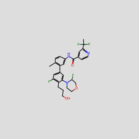 Cc1ccc(NC(=O)c2ccnc(C(C)(F)F)c2)cc1-c1cc(F)c(CCCO)c(N2CCOC[C@@H]2F)c1